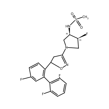 CS(=O)(=O)N[C@@H]1CN(C2=NOC(c3ccc(F)cc3-c3c(F)cccc3F)C2)C[C@@H]1F